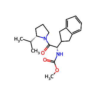 COC(=O)N[C@H](C(=O)N1CCC[C@H]1C(C)C)C1Cc2ccccc2C1